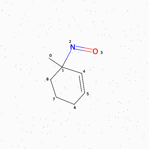 CC1(N=O)C=CCCC1